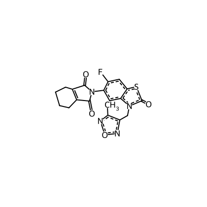 Cc1nonc1Cn1c(=O)sc2cc(F)c(N3C(=O)C4=C(CCCC4)C3=O)cc21